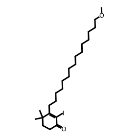 COCCCCCCCCCCCCCCCC1=C(I)C(=O)CCC1(C)C